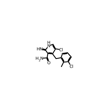 Cc1c(Cc2c(Cl)c[nH]c(=N)c2C(N)=O)[c]ccc1Cl